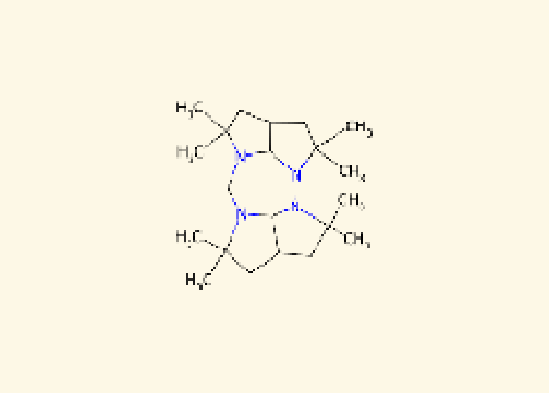 CC1(C)CC2CC(C)(C)N3C2N1CN1C2C(CC1(C)C)CC(C)(C)N23